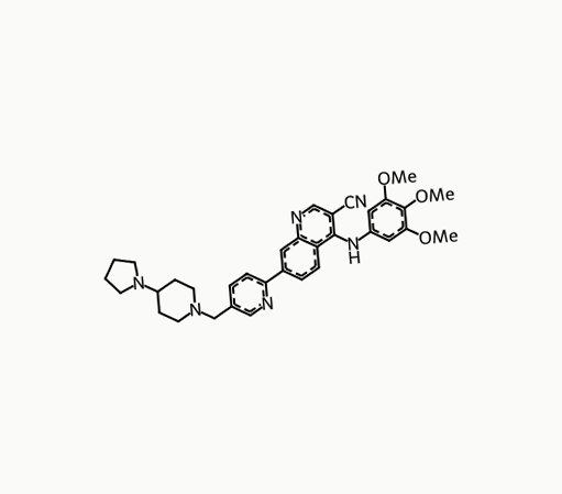 COc1cc(Nc2c(C#N)cnc3cc(-c4ccc(CN5CCC(N6CCCC6)CC5)cn4)ccc23)cc(OC)c1OC